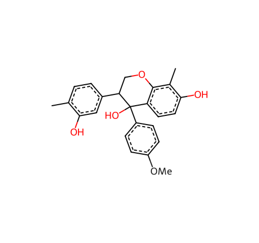 COc1ccc(C2(O)c3ccc(O)c(C)c3OCC2c2ccc(C)c(O)c2)cc1